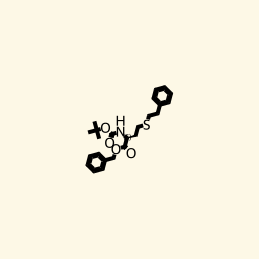 CC(C)(C)OC(=O)N[C@@H](CCSCCc1ccccc1)C(=O)OCc1ccccc1